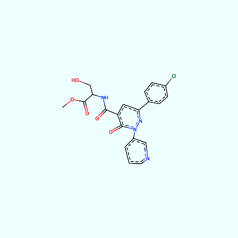 COC(=O)C(CO)NC(=O)c1cc(-c2ccc(Cl)cc2)nn(-c2cccnc2)c1=O